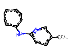 ClC(Cl)(Cl)c1ccc(Nc2ccccc2)nc1